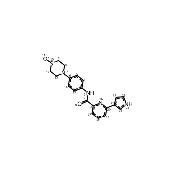 O=C(Nc1ccc(N2CC[S+]([O-])CC2)cc1)c1cccc(-c2cc[nH]c2)n1